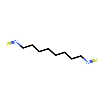 S=NCCCCCCCCN=S